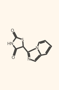 O=C1NC(=O)C(c2ncc3ccccn23)S1